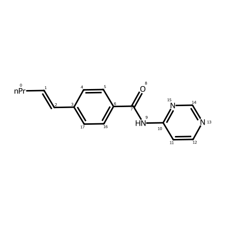 CCC/C=C/c1ccc(C(=O)Nc2ccncn2)cc1